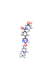 CC(C)(F)CN1CCC(COc2cnc(-c3ccc(C(=O)N4CCC[C@@H](O)C4)cc3)cn2)CC1